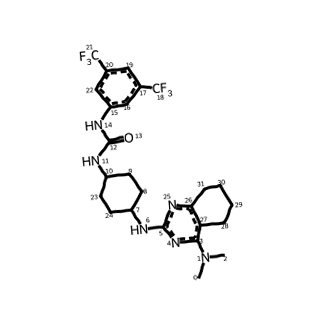 CN(C)c1nc(NC2CCC(NC(=O)Nc3cc(C(F)(F)F)cc(C(F)(F)F)c3)CC2)nc2c1CCCC2